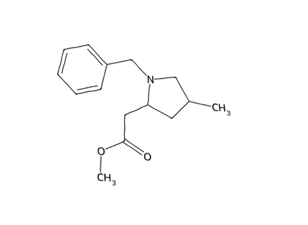 COC(=O)CC1CC(C)CN1Cc1ccccc1